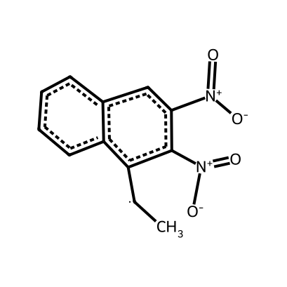 C[CH]c1c([N+](=O)[O-])c([N+](=O)[O-])cc2ccccc12